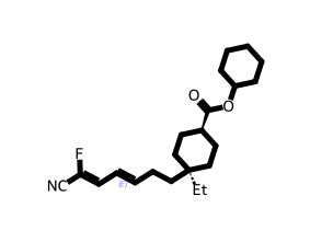 CC[C@]1(CC/C=C/C=C(F)C#N)CC[C@@H](C(=O)OC2CCCCC2)CC1